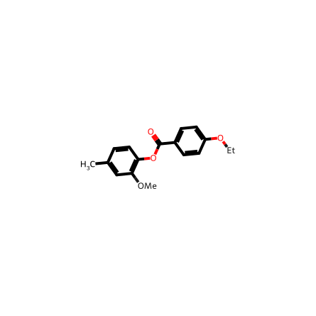 CCOc1ccc(C(=O)Oc2ccc(C)cc2OC)cc1